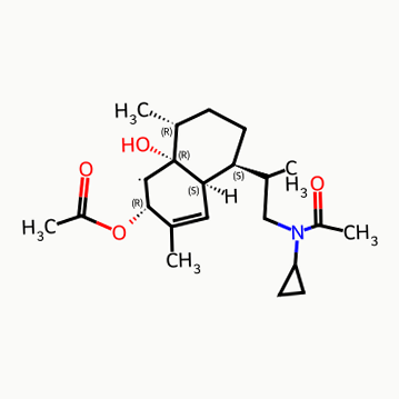 CC(=O)O[C@@H]1[CH][C@@]2(O)[C@H](C)CC[C@@H](C(C)CN(C(C)=O)C3CC3)[C@H]2C=C1C